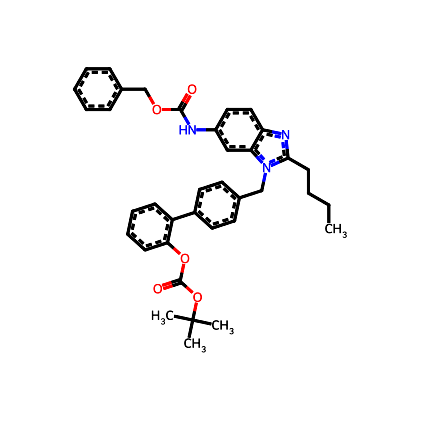 CCCCc1nc2ccc(NC(=O)OCc3ccccc3)cc2n1Cc1ccc(-c2ccccc2OC(=O)OC(C)(C)C)cc1